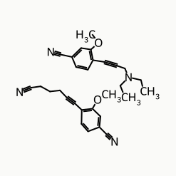 CCN(CC)CC#Cc1ccc(C#N)cc1OC.COc1cc(C#N)ccc1C#CCCCC#N